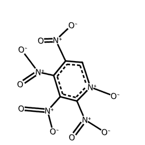 O=[N+]([O-])c1c[n+]([O-])c([N+](=O)[O-])c([N+](=O)[O-])c1[N+](=O)[O-]